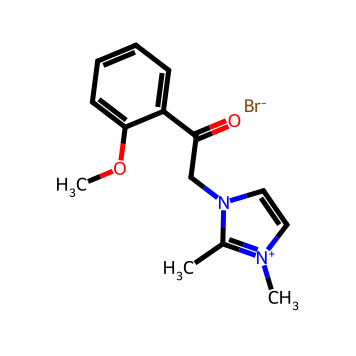 COc1ccccc1C(=O)Cn1cc[n+](C)c1C.[Br-]